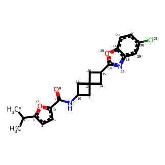 CC(C)c1ccc(C(=O)NC2CC3(C2)CC(c2nc4cc(Cl)ccc4o2)C3)o1